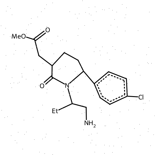 CCC(CN)N1C(=O)C(CC(=O)OC)CCC1c1ccc(Cl)cc1